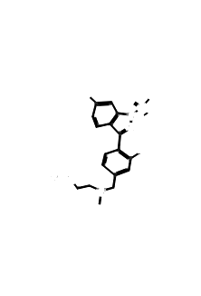 CNCCN(C)Cc1ccc(-c2nn(S(C)(=O)=O)c3cc(Br)ccc23)c(F)c1